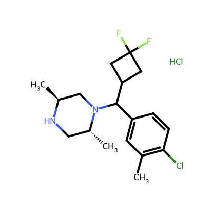 Cc1cc(C(C2CC(F)(F)C2)N2C[C@H](C)NC[C@H]2C)ccc1Cl.Cl